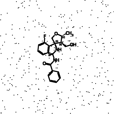 C[C@H]1OC[C@@](NC(=S)NC(=O)c2ccccc2)(c2ccccc2F)[C@@H]1CO